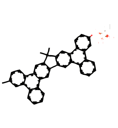 Cc1ccc2c(c1)c1ccccc1c1cc3c(cc21)C(C)(C)c1cc2c4ccc(OS(=O)(=O)C(F)(F)F)cc4c4ccccc4c2cc1-3